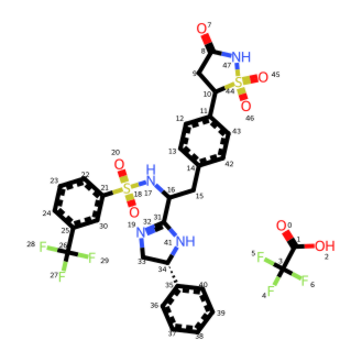 O=C(O)C(F)(F)F.O=C1CC(c2ccc(CC(NS(=O)(=O)c3cccc(C(F)(F)F)c3)C3=NC[C@@H](c4ccccc4)N3)cc2)S(=O)(=O)N1